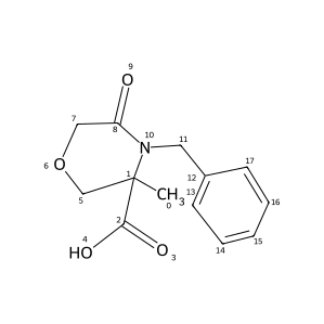 CC1(C(=O)O)COCC(=O)N1Cc1ccccc1